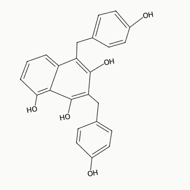 Oc1ccc(Cc2c(O)c(Cc3ccc(O)cc3)c3cccc(O)c3c2O)cc1